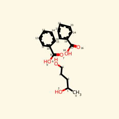 CC(O)CCCO.O=C(O)c1ccccc1.O=C(O)c1ccccc1